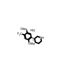 COc1cc(C(F)(F)F)c(OC)cc1[C@@H]1CCCNC1.Cl